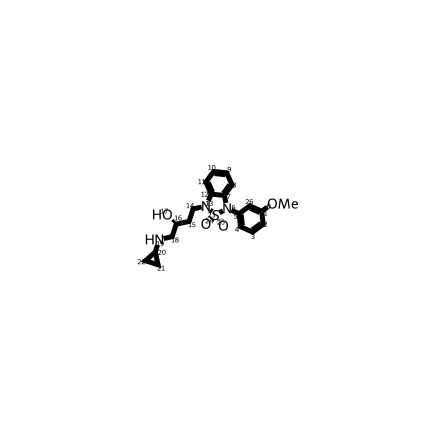 COc1cccc(N2c3ccccc3N(CC[C@H](O)CNC3CC3)S2(=O)=O)c1